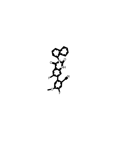 COc1cc(-c2cc3[nH]c(=O)n(-c4cccc5ccccc45)c(=O)c3cc2F)c(C#N)cc1F